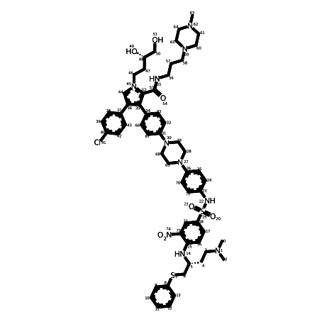 CN(C)CC[C@H](CSc1ccccc1)Nc1ccc(S(=O)(=O)Nc2ccc(N3CCN(c4ccc(-c5c(-c6ccc(Cl)cc6)cn(CC[C@H](O)CO)c5C(=O)NCCCN5CCN(C)CC5)cc4)CC3)cc2)cc1[N+](=O)[O-]